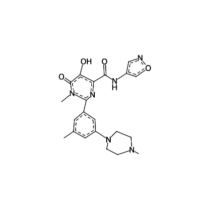 Cc1cc(-c2nc(C(=O)Nc3cnoc3)c(O)c(=O)n2C)cc(N2CCN(C)CC2)c1